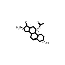 B[C@@H]1CC2C3CC=C4C[C@@H](O)CC[C@]4(C)C3[C@@H](OC(C)=O)C[C@]2(C)C1=O